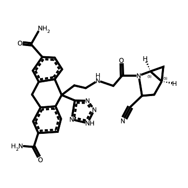 N#CC1C[C@@H]2C[C@@H]2N1C(=O)CNCCC1(c2nn[nH]n2)c2ccc(C(N)=O)cc2Cc2cc(C(N)=O)ccc21